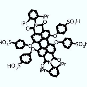 CC(C)c1cccc(C(C)C)c1N1C(=O)c2cc(Oc3ccc(S(=O)(=O)O)cc3)c3c4c(Oc5ccc(S(=O)(=O)O)cc5)cc5c6c(cc(Oc7ccc(S(=O)(=O)O)cc7)c(c7c(Oc8ccc(S(=O)(=O)O)cc8)cc(c2c37)C1=O)c64)C(=O)N(c1c(C(C)C)cccc1C(C)C)C5=O